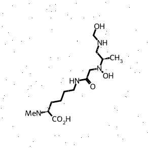 CN[C@@H](CCCCNC(=O)CN(O)[C@H](C)CNCO)C(=O)O